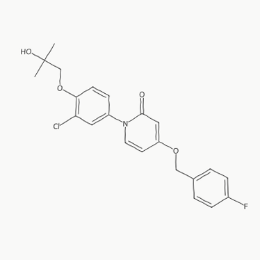 CC(C)(O)COc1ccc(-n2ccc(OCc3ccc(F)cc3)cc2=O)cc1Cl